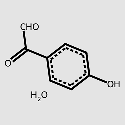 O.O=CC(=O)c1ccc(O)cc1